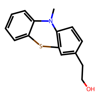 CN1c2ccccc2Sc2cc(CCO)ccc21